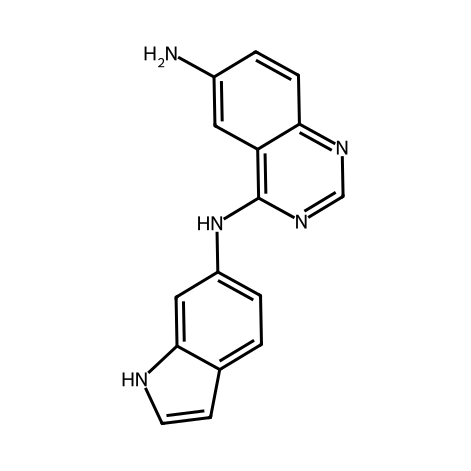 Nc1ccc2ncnc(Nc3ccc4cc[nH]c4c3)c2c1